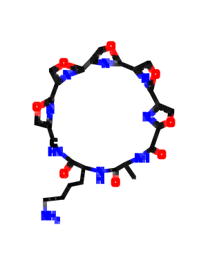 CC1NC(=O)c2nc(co2)-c2nc(co2)-c2nc(co2)-c2nc(co2)-c2nc(co2)CNC(=O)C(CCCCN)NC1=O